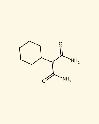 NC(=O)N(C(N)=O)C1CCCCC1